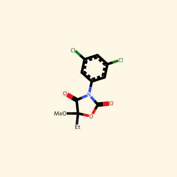 CCC1(OC)OC(=O)N(c2cc(Cl)cc(Cl)c2)C1=O